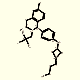 Cc1ccc2c(c1)C[C@@H](C)N(CC(F)(F)F)[C@@H]2c1ccc(NC2CN(CCCF)C2)cc1